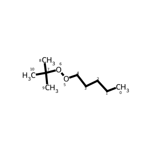 CCCCCOOC(C)(C)C